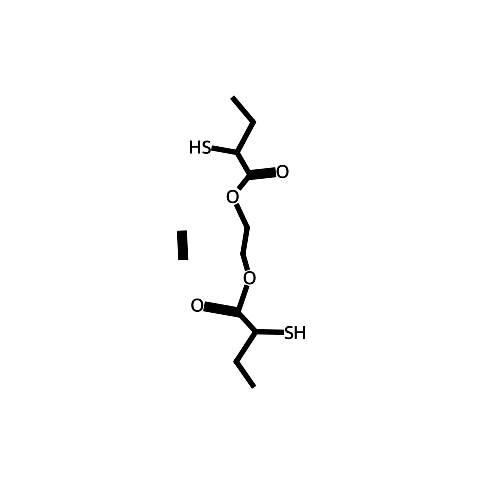 C=C.CCC(S)C(=O)OCCOC(=O)C(S)CC